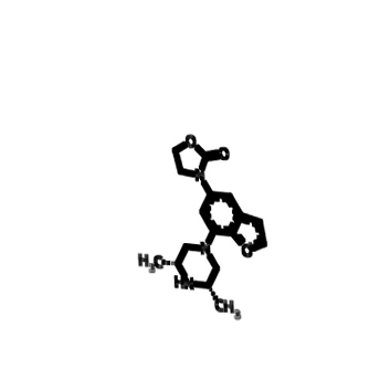 C[C@@H]1CN(c2cc(N3CCOC3=O)cc3ccoc23)C[C@H](C)N1